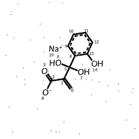 C=C(C(=O)[O-])C(O)(O)c1ccccc1O.[Na+]